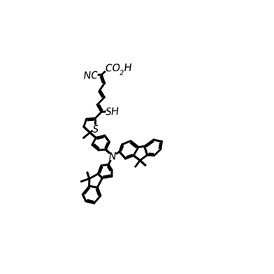 CC1(c2ccc(N(c3ccc4c(c3)C(C)(C)c3ccccc3-4)c3ccc4c(c3)C(C)(C)c3ccccc3-4)cc2)CC=C(/C(S)=C/C=C/C=C(\C#N)C(=O)O)S1